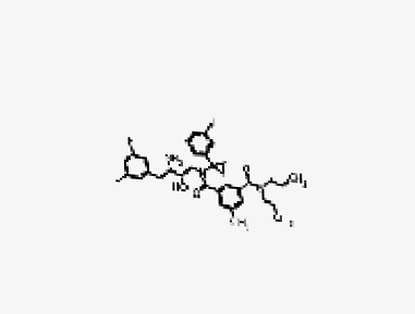 CCCN(CCC)C(=O)c1cc(C)cc(C(=O)N(C[C@@H](O)[C@@H](N)Cc2cc(F)cc(F)c2)C2(c3cccc(I)c3)CC2)c1